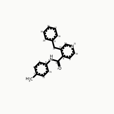 Cc1ccc(NC(=O)c2ccncc2Cc2ccccc2)cc1